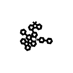 CC1(C)c2ccccc2-c2c(-c3ccc(N(c4ccc(-c5ccccc5)cc4)c4cccc5c4-c4ccc(-c6ccccc6)cc4C54c5ccccc5-c5ccccc54)cc3)cccc21